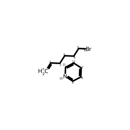 C=CCCCCBr.c1ccncc1